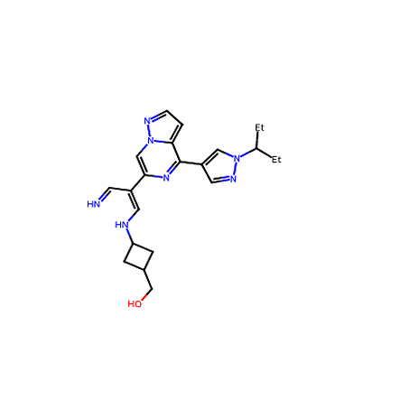 CCC(CC)n1cc(-c2nc(/C(C=N)=C/NC3CC(CO)C3)cn3nccc23)cn1